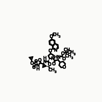 CC[C@@H]1C[C@]1(NC(=O)[C@@H]1CC(Oc2nccc3cc(OC)ccc23)CN1C(=O)[C@@H](NC(=O)OC(C)(C)C)C1CCOCC1)C(=O)NS(=O)(=O)OC1CC1